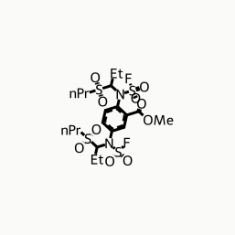 CCCS(=O)(=O)C(CC)N(c1ccc(N(C(CC)S(=O)(=O)CCC)S(=O)(=O)F)c(C(=O)OC)c1)S(=O)(=O)F